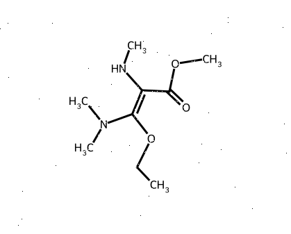 CCO/C(=C(/NC)C(=O)OC)N(C)C